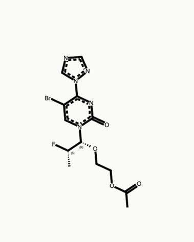 CC(=O)OCCO[C@H]([C@H](C)F)n1cc(Br)c(-n2cncn2)nc1=O